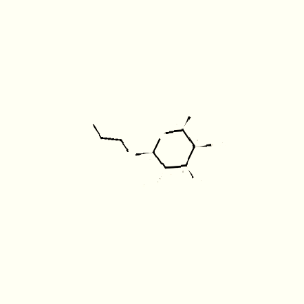 CC(=O)O[C@H]1[C@H](OC(C)=O)[C@@H](OCCO)O[C@@H](C)[C@H]1OC(C)=O